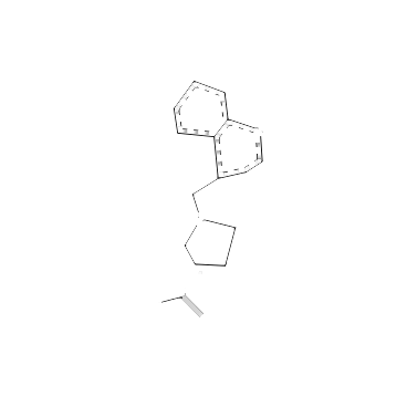 O=C(O)[C@H]1CCN(Cc2ccnc3ccccc23)C1